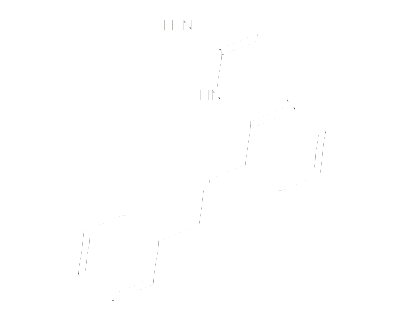 NC(=O)Nc1ncccc1OCc1ccccc1